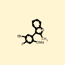 COc1cc(F)c(C(C)(C)C)cc1-c1c(C)sc2ccccc12